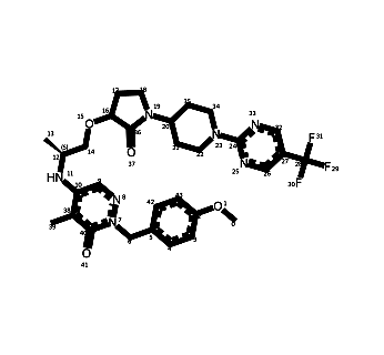 COc1ccc(Cn2ncc(N[C@@H](C)COC3CCN(C4CCN(c5ncc(C(F)(F)F)cn5)CC4)C3=O)c(C)c2=O)cc1